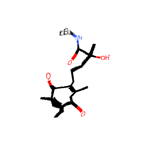 CC1=C(C)C(=O)C(CCC(C)(O)C(=O)NC(C)(C)C)=C(C)C1=O